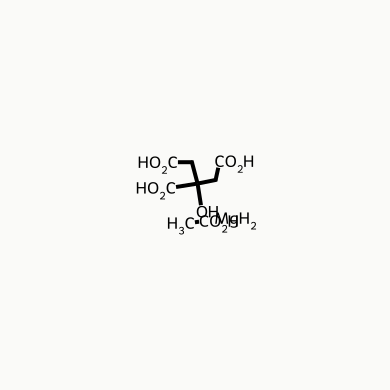 CC(=O)O.O=C(O)CC(O)(CC(=O)O)C(=O)O.[MgH2]